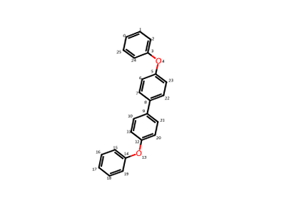 c1ccc(Oc2ccc(-c3ccc(Oc4ccccc4)cc3)cc2)cc1